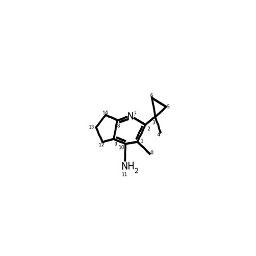 Cc1c(C2(C)CC2)nc2c(c1N)CCC2